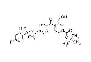 CC(C)(C)OC(=O)N1CCN(C(=O)c2ccc(NCC(C)(C)c3ccc(F)cc3)nn2)C(CO)C1